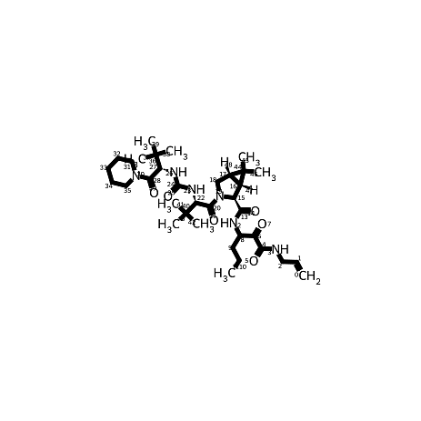 C=CCNC(=O)C(=O)C(CCC)NC(=O)[C@@H]1[C@@H]2[C@H](CN1C(=O)[C@@H](NC(=O)N[C@H](C(=O)N1CCCCC1)C(C)(C)C)C(C)(C)C)C2(C)C